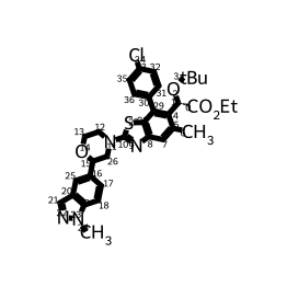 CCOC(=O)[C@@H](OC(C)(C)C)c1c(C)cc2nc(N3CCOC(c4ccc5c(cnn5C)c4)C3)sc2c1-c1ccc(Cl)cc1